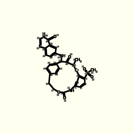 CN1Cc2cc(ccc2S(C)(=O)=O)NC(=O)OCCc2ccc(cc2)C(Nc2ccc3nc[nH]c(=O)c3c2)C1=O